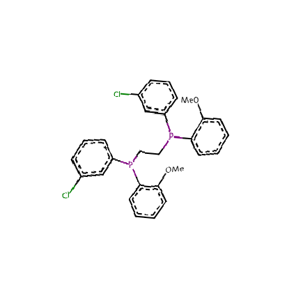 COc1ccccc1P(CCP(c1cccc(Cl)c1)c1ccccc1OC)c1cccc(Cl)c1